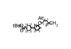 C=C(F)/C=C(\COc1cccc(C2=CCN(C(=O)OC(C)(C)C)CC2)n1)C(C)=O